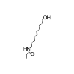 C=CC(=O)NCCCCCCCCCCO